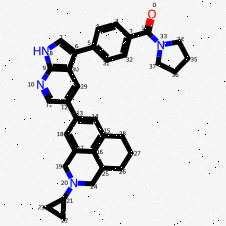 O=C(c1ccc(-c2c[nH]c3ncc(-c4cc5c6c(c4)CN(C4CC4)CC6CCC5)cc23)cc1)N1CCCC1